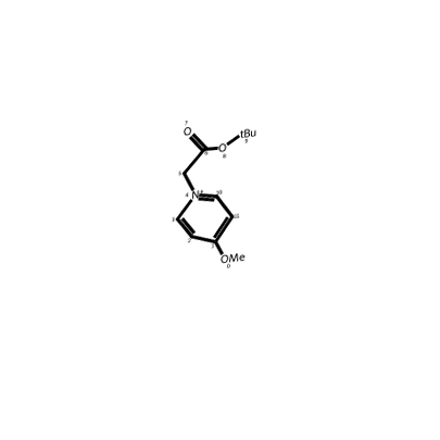 COc1cc[n+](CC(=O)OC(C)(C)C)cc1